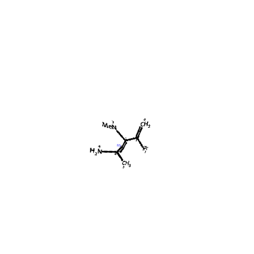 C=C(/C(NC)=C(\C)N)C(C)C